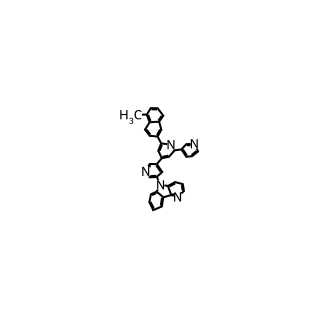 Cc1cccc2cc(-c3cc(-c4cncc(-n5c6ccccc6c6ncccc65)c4)cc(-c4cccnc4)n3)ccc12